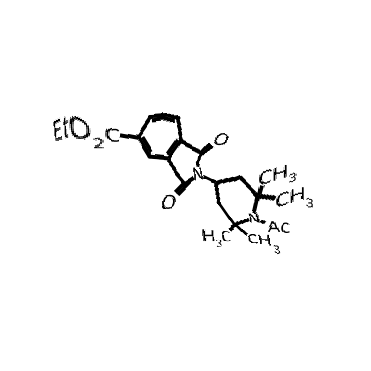 CCOC(=O)c1ccc2c(c1)C(=O)N(C1CC(C)(C)N(C(C)=O)C(C)(C)C1)C2=O